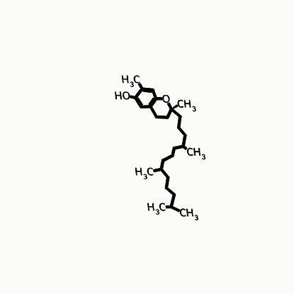 Cc1cc2c(cc1O)CC[C@@](C)(CCCC(C)CCCC(C)CCCC(C)C)O2